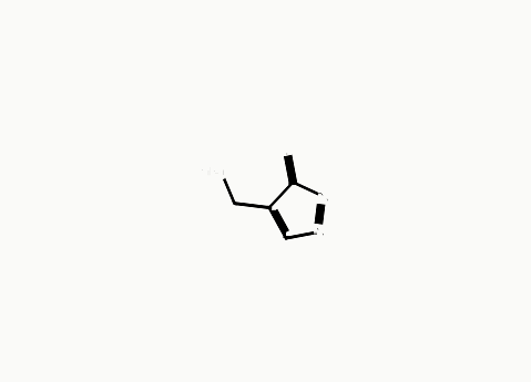 CCCCCC1=[C]N=NC1=O